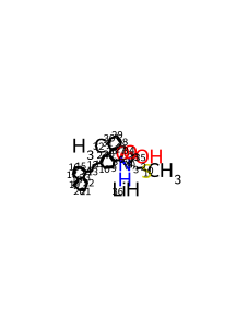 CSCC[C@H](NC(=O)c1ccc(CCc2cccc3ccccc23)cc1-c1ccccc1C)C(=O)O.[LiH]